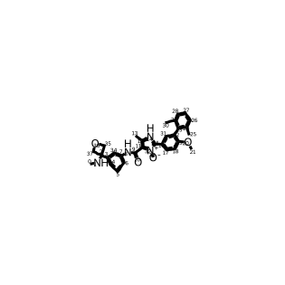 CNC1(c2cccc(NC(=O)c3c(C)[nH]c(-c4ccc(OC)c(-c5c(C)cccc5C)c4)[n+]3[O-])c2)COC1